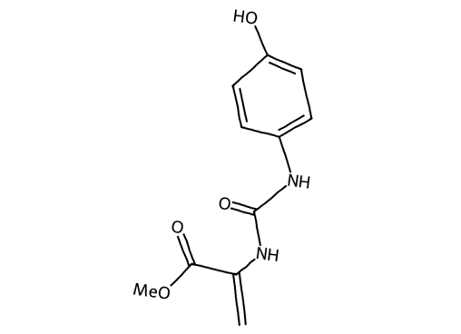 C=C(NC(=O)Nc1ccc(O)cc1)C(=O)OC